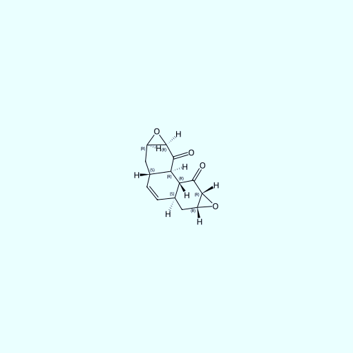 O=C1[C@H]2[C@@H]3C(=O)[C@@H]4O[C@@H]4C[C@H]3C=C[C@@H]2C[C@H]2O[C@@H]12